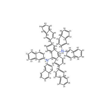 C1=CC2=CC(N(c3ccc4ccccc4c3)c3c4cc(-c5ccc6ccccc6c5)ccc4c(N(c4ccc5ccccc5c4)c4ccc5ccccc5c4)c4cc(-c5ccc6ccccc6c5)ccc34)=CCC2C=C1